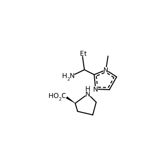 CCC(N)c1nccn1C.O=C(O)[C@@H]1CCCN1